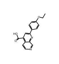 CCOc1ccc(-c2cc(C(=O)O)c3ccncc3n2)cc1